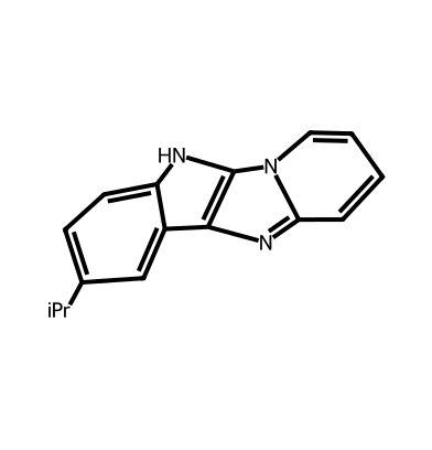 CC(C)c1ccc2[nH]c3c(nc4ccccn43)c2c1